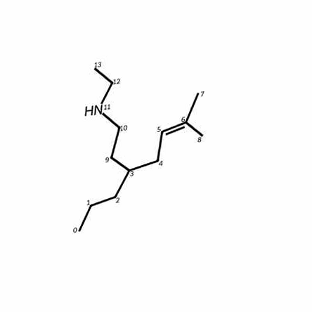 CCCC(CC=C(C)C)CCNCC